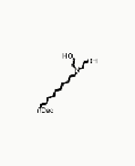 CCCCCCCCCCCCCCCCCCCCN(CCO)CCO